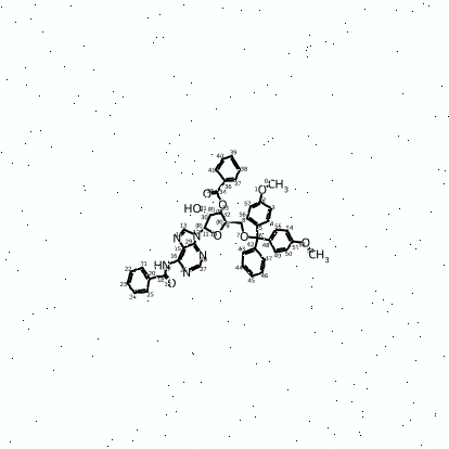 COc1ccc(C(OC[C@H]2O[C@@H](n3cnc4c(NC(=O)c5ccccc5)ncnc43)[C@H](O)[C@@H]2OC(=O)c2ccccc2)(c2ccccc2)c2ccc(OC)cc2)cc1